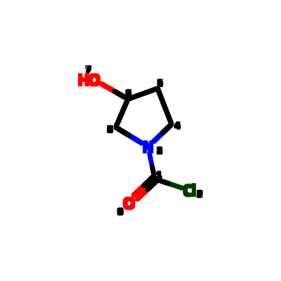 O=C(Cl)N1CCC(O)C1